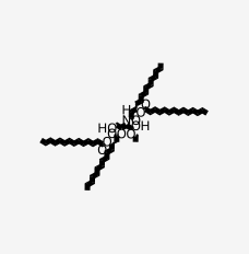 CCCCCCCCCCCCCC(=O)O[C@H](CCCCCCCCCCC)CC(=O)N/C(=C(\CO)OC(=O)C[C@@H](CCCCCCCCCCC)OC(=O)CCCCCCCCCCCCC)[C@@H](O)OCC